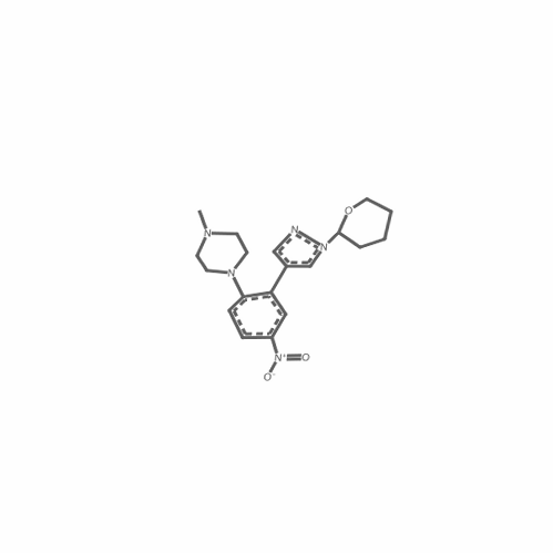 CN1CCN(c2ccc([N+](=O)[O-])cc2-c2cnn(C3CCCCO3)c2)CC1